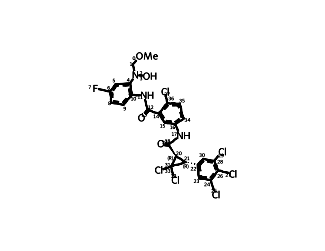 COCN(O)c1cc(F)ccc1NC(=O)c1cc(NC(=O)[C@H]2[C@H](c3cc(Cl)c(Cl)c(Cl)c3)C2(Cl)Cl)ccc1Cl